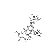 C[C@@H]1CC1c1c(Cl)cc(O)cc1-c1ncc2c(N3CC4CCC(C3)N4)nc(OC[C@@]34CCCN3C[C@H](F)C4)nc2c1F